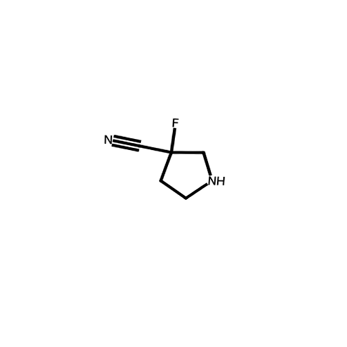 N#CC1(F)CCNC1